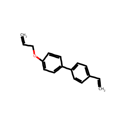 C=CCOc1ccc(-c2ccc(C=C)cc2)cc1